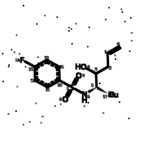 C=CCC(O)[C@@H](NS(=O)(=O)c1ccc(F)cc1)[C@@H](C)CC